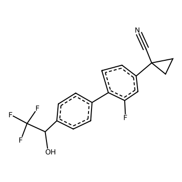 N#CC1(c2ccc(-c3ccc(C(O)C(F)(F)F)cc3)c(F)c2)CC1